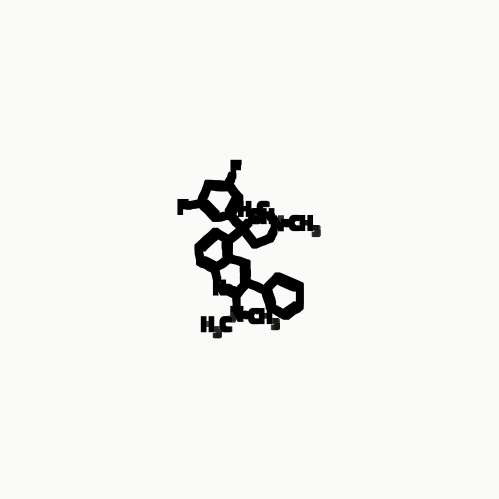 CN(C)CCC(O)(c1cc(F)cc(F)c1)c1cccc2nc(N(C)C)c(-c3ccccc3)cc12